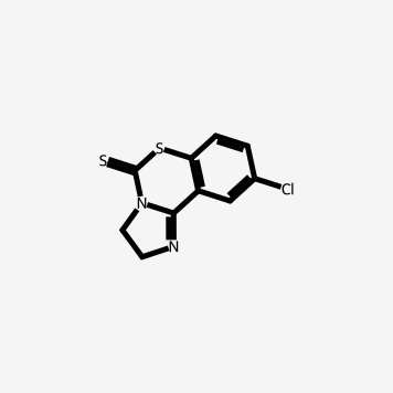 S=C1Sc2ccc(Cl)cc2C2=NCCN12